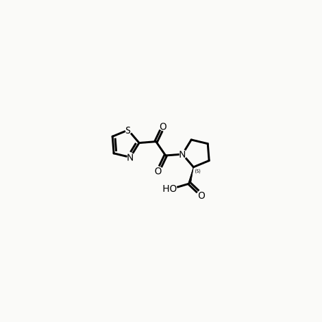 O=C(C(=O)N1CCC[C@H]1C(=O)O)c1nccs1